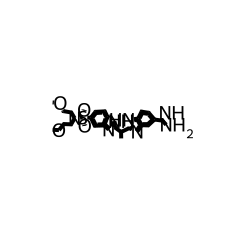 COCCN(CCOC)S(=O)(=O)c1ccc2[nH]c(C(C)c3nc4cc(C(=N)N)ccc4[nH]3)nc2c1